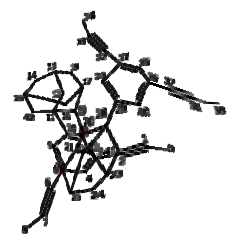 CC#Cc1cc(C#CC)cc(C23CC4CC(CC(C4)C2C2C4CC5CC(C4)CC2(c2cc(C#CC)cc(C#CC)c2)C5)C3)c1